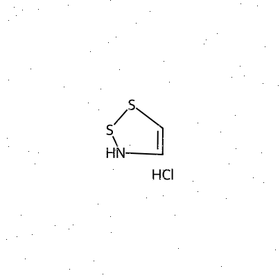 C1=CSSN1.Cl